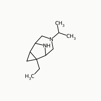 CCC12CC1C1CN(C(C)C)CC2N1